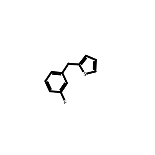 Fc1cccc(Cc2cc[c]s2)c1